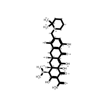 CN(C)[C@@H]1C(O)=C(C(N)=O)C(=O)[C@@]2(O)C(O)=C3C(=O)c4c(O)cc(CN5CCCCC5(C)C)c(F)c4C[C@H]3C[C@@H]12